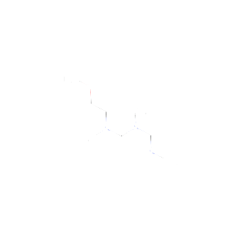 CNCN(C)CN(C)CCOC